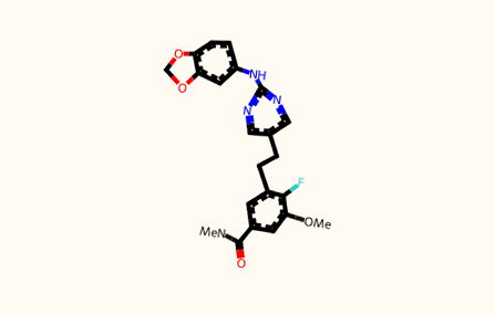 CNC(=O)c1cc(CCc2cnc(Nc3ccc4c(c3)OCO4)nc2)c(F)c(OC)c1